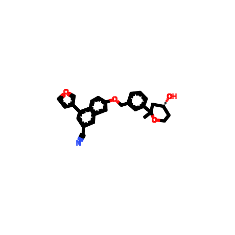 CC1(c2cccc(COc3ccc4c(-c5ccoc5)cc(C#N)cc4c3)c2)C[C@H](O)CCO1